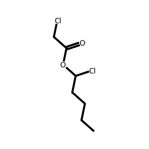 CCCCC(Cl)OC(=O)CCl